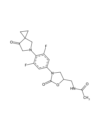 CC(=O)NCC1CN(c2cc(F)c(N3CC(=O)C4(CC4)C3)c(F)c2)C(=O)O1